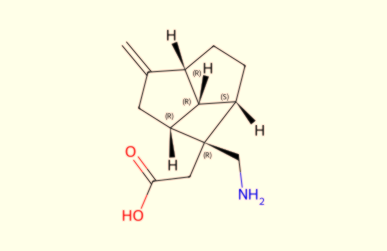 C=C1C[C@@H]2[C@@H]3[C@H]1CC[C@@H]3[C@]2(CN)CC(=O)O